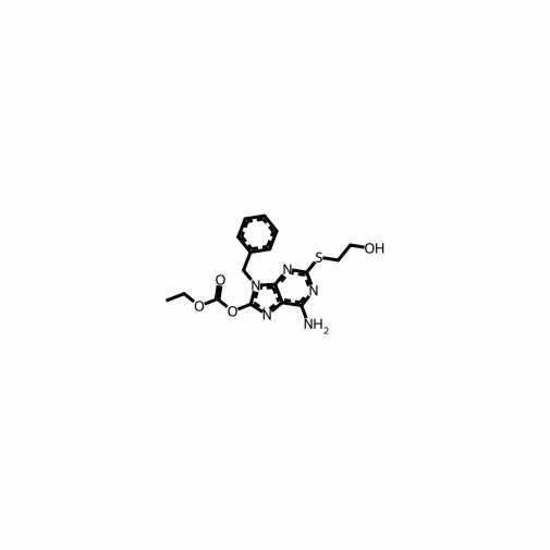 CCOC(=O)Oc1nc2c(N)nc(SCCO)nc2n1Cc1ccccc1